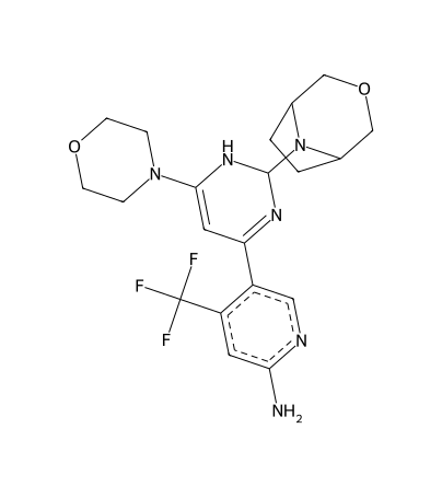 Nc1cc(C(F)(F)F)c(C2=NC(N3C4CCC3COC4)NC(N3CCOCC3)=C2)cn1